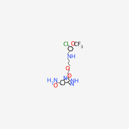 NC(=O)c1ccc2c(c1)nc(OCCOCCCCNCc1ccc(OC(F)(F)F)c(Cl)c1)c1[nH]ncc12